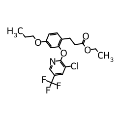 CCCOc1ccc(CCC(=O)OCC)c(Oc2ncc(C(F)(F)F)cc2Cl)c1